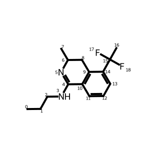 CCCNC1=NC(C)Cc2c1cccc2C(C)(F)F